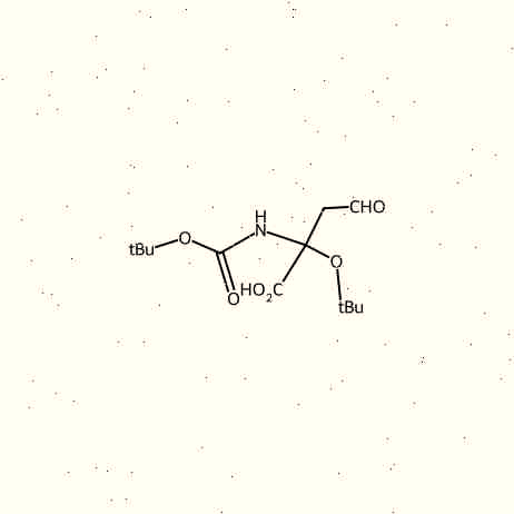 CC(C)(C)OC(=O)NC(CC=O)(OC(C)(C)C)C(=O)O